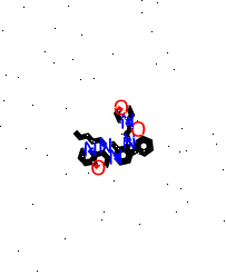 CCCCCN(Cc1nccc2c3ccccc3n(CC(=O)N3CCOCC3)c12)[C@H]1CCOc2cccnc21